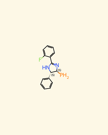 Fc1ccccc1C1=N[C@@H](P)[C@H](c2ccccc2)N1